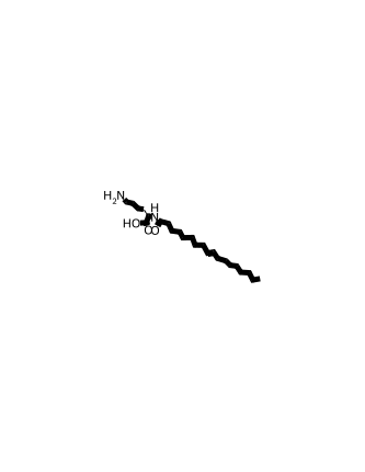 CCCCCCCCC=CCCCCCCCC(=O)N[C@@H](CCCCN)C(=O)O